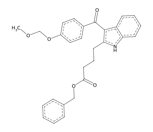 COCOc1ccc(C(=O)c2c(CCCC(=O)OCc3ccccc3)[nH]c3ccccc23)cc1